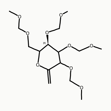 C=C1OC(COCOC)[C@@H](OCOC)C(OCOC)C1OCOC